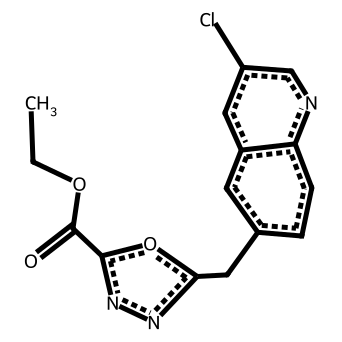 CCOC(=O)c1nnc(Cc2ccc3ncc(Cl)cc3c2)o1